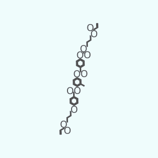 C=CC(=O)OCCCCOC(=O)Oc1ccc(C(=O)Oc2ccc(OC(=O)c3ccc(OCCCCOC(=O)C=C)cc3)c(C)c2)cc1